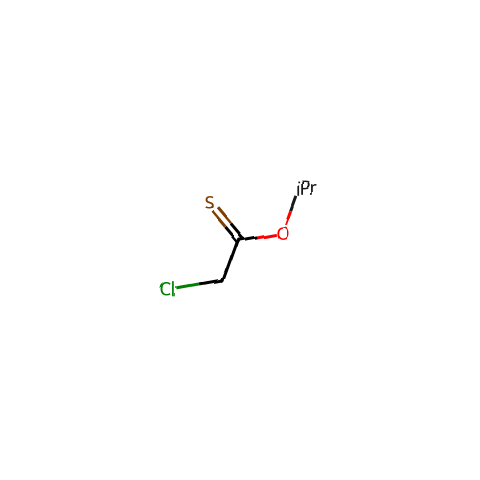 CC(C)OC(=S)CCl